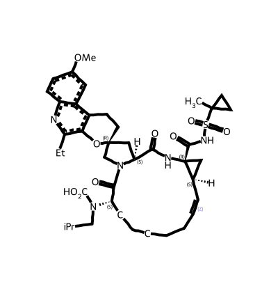 CCc1nc2ccc(OC)cc2c2c1O[C@]1(CC2)C[C@H]2C(=O)N[C@]3(C(=O)NS(=O)(=O)C4(C)CC4)C[C@H]3/C=C\CCCCC[C@H](N(CC(C)C)C(=O)O)C(=O)N2C1